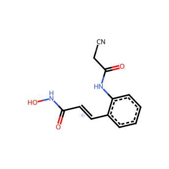 N#CCC(=O)Nc1ccccc1/C=C/C(=O)NO